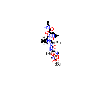 C=CCNC(=O)C(=O)C(CC1CC1)NC(=O)[C@@H]1[C@@H]2[C@H](CN1C(=O)[C@@H](NC(=O)N[C@H](CN(C)S(=O)(=O)N(C)C(=O)OC(C)(C)C)C(C)(C)C)C(C)(C)C)C2(C)C